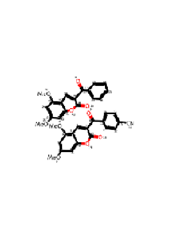 COc1cc(OC)c2cc(C(=O)c3ccc(C#N)cc3)c(=O)oc2c1.COc1cc(OC)c2cc(C(=O)c3ccccc3)c(=O)oc2c1